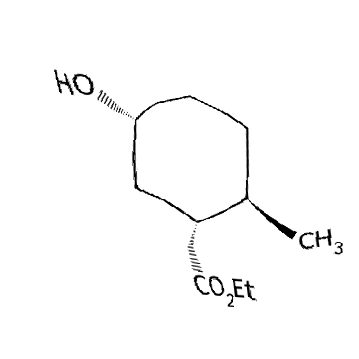 CCOC(=O)[C@@H]1C[C@H](O)CC[C@H]1C